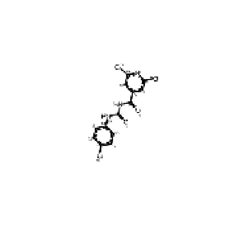 O=C(NC(=O)c1cc(Cl)nc(Cl)c1)Nc1ccc(Cl)cc1